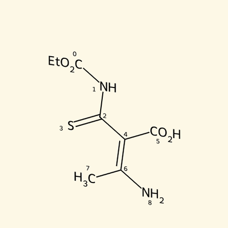 CCOC(=O)NC(=S)/C(C(=O)O)=C(\C)N